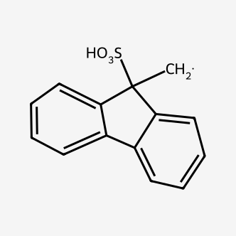 [CH2]C1(S(=O)(=O)O)c2ccccc2-c2ccccc21